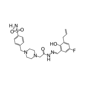 C=CCc1cc(F)cc(C=NNC(=O)CN2CCN(Cc3ccc(S(N)(=O)=O)cc3)CC2)c1O